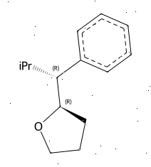 CC(C)[C@H](c1ccccc1)[C@H]1CCCO1